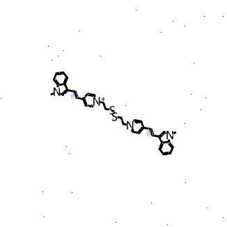 Cn1cc(/C=C/c2cc[n+](CCSSCC[n+]3ccc(/C=C/c4cn(C)c5ccccc45)cc3)cc2)c2ccccc21